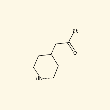 CCC(=O)CC1CCNCC1